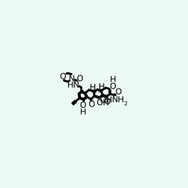 C#Cc1cc(CNC(=O)N2CCOCC2)c2c(c1O)C(=O)C1=C(O)[C@]3(O)C(=O)C(C(N)=O)=C(O)C[C@@H]3C[C@@H]1C2